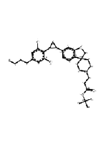 CCCCc1cc(Cl)c(C2CC2c2ccc3c(c2)OCC32CCN(CCC(=O)OC(C)(C)C)CC2)c(Cl)c1